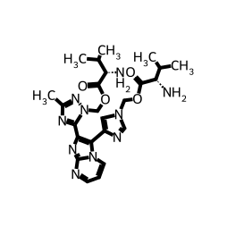 Cc1nc(-c2nc3ncccn3c2-c2cn(COC(=O)[C@@H](N)C(C)C)cn2)n(COC(=O)[C@@H](N)C(C)C)n1